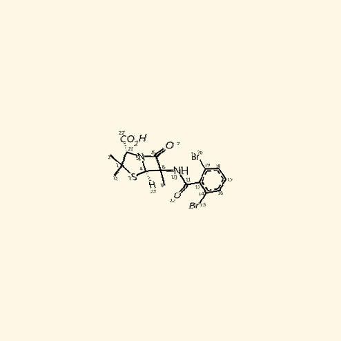 CC1(C)S[C@H]2N(C(=O)C2(C)NC(=O)c2c(Br)cccc2Br)[C@H]1C(=O)O